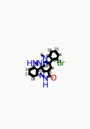 Cn1cc(C=C2C(=O)NN=C2C2(C)NNc3ccccc32)c2c(Br)cccc21